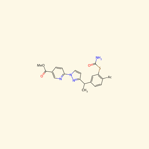 COC(=O)c1ccc(-n2ccc(C(C)c3ccc(C(C)=O)c(SC(N)=O)c3)n2)nc1